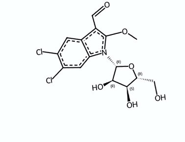 COc1c(C=O)c2cc(Cl)c(Cl)cc2n1[C@@H]1O[C@H](CO)[C@@H](O)[C@H]1O